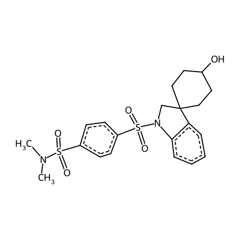 CN(C)S(=O)(=O)c1ccc(S(=O)(=O)N2CC3(CCC(O)CC3)c3ccccc32)cc1